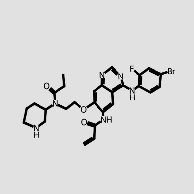 C=CC(=O)Nc1cc2c(Nc3ccc(Br)cc3F)ncnc2cc1OCCN(C(=O)CC)C1CCCNC1